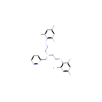 Cc1cc(C(C)C)c(NCCN(CCNc2c(C(C)C)cc(C)cc2C(C)C)Cc2ccccn2)c(C(C)C)c1.[Co]